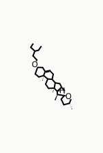 CCC(CC)CCOC1CC[C@@]2(C)C(=CCC3C2CC[C@@]2(C)C3CC3C[C@]4(CC[C@@H](C)CO4)[C@@H](C)[C@@H]32)C1